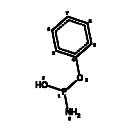 NP(O)Oc1ccccc1